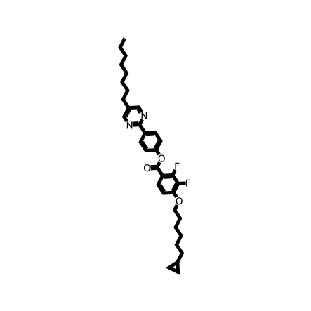 CCCCCCCCc1cnc(-c2ccc(OC(=O)c3ccc(OCCCCCCC4CC4)c(F)c3F)cc2)nc1